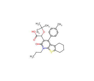 CCCn1c(=O)c(C(OC(C)(C)C)C(=O)O)c(-c2ccc(C)cc2)c2c3c(sc21)CCCC3